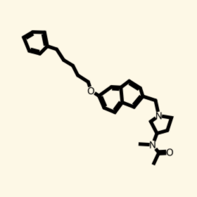 CC(=O)N(C)C1CCN(Cc2ccc3cc(OCCCCCc4ccccc4)ccc3c2)C1